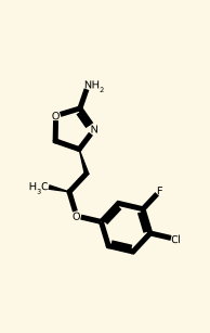 C[C@@H](C[C@H]1COC(N)=N1)Oc1ccc(Cl)c(F)c1